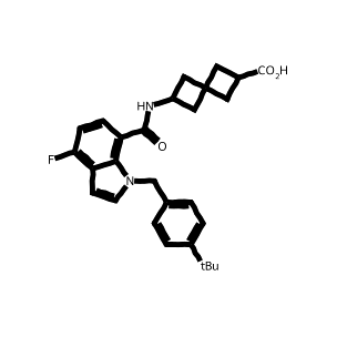 CC(C)(C)c1ccc(Cn2ccc3c(F)ccc(C(=O)NC4CC5(C4)CC(C(=O)O)C5)c32)cc1